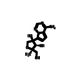 C[C@]1(CO)OC[C@](O)(c2ccc3c(N)ncnn23)[C@@H]1O